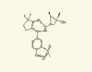 COc1ccc(-c2nc(N3C[C@@](C)(O)[C@@H]3C)nc3c2CCC3(F)F)cc1S(C)(=N)=O